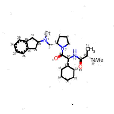 CCN(C[C@@H]1CCCN1C(=O)[C@@H](NC(=O)[C@H](C)NC)C1CCCCC1)C1Cc2ccccc2C1